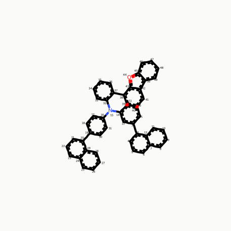 c1cc(-c2cccc3ccccc23)cc(N(c2ccc(-c3cccc4ccccc34)cc2)c2ccccc2-c2cccc3c2oc2ccccc23)c1